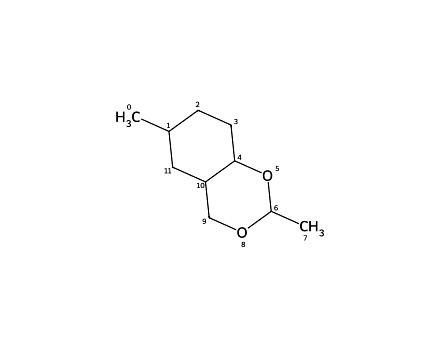 CC1CCC2OC(C)OCC2C1